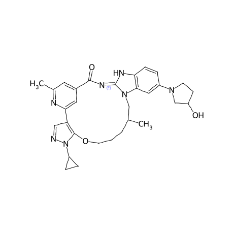 Cc1cc2cc(n1)-c1cnn(C3CC3)c1OCCCC(C)CN1/C(=N/C2=O)Nc2ccc(N3CCC(O)C3)cc21